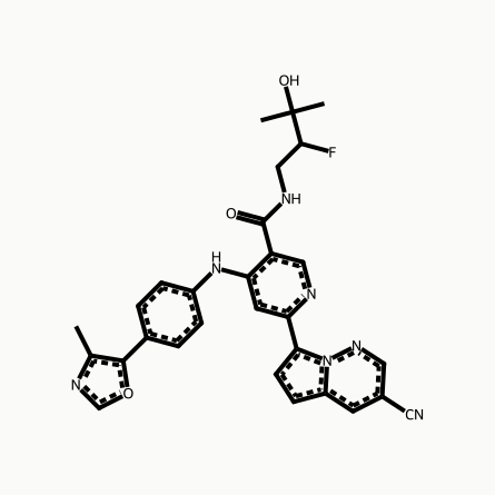 Cc1ncoc1-c1ccc(Nc2cc(-c3ccc4cc(C#N)cnn34)ncc2C(=O)NCC(F)C(C)(C)O)cc1